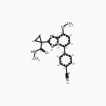 CNC(=O)C1(c2nc3c(OC)ccc(-c4ccc(C#N)cc4)n3n2)CC1